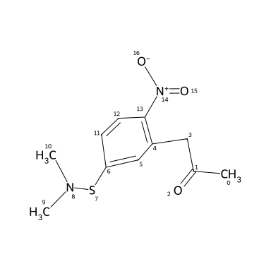 CC(=O)Cc1cc(SN(C)C)ccc1[N+](=O)[O-]